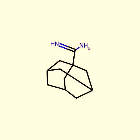 N=C(N)C12CC3CC(CC(C3)C1)C2